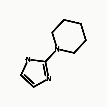 C1=CN=C(N2CCCCC2)[N]1